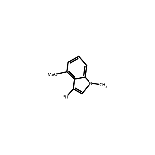 [3H]c1cn(C)c2cccc(OC)c12